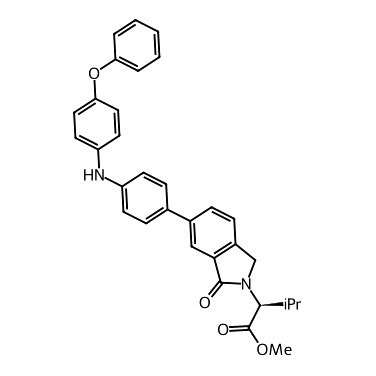 COC(=O)[C@H](C(C)C)N1Cc2ccc(-c3ccc(Nc4ccc(Oc5ccccc5)cc4)cc3)cc2C1=O